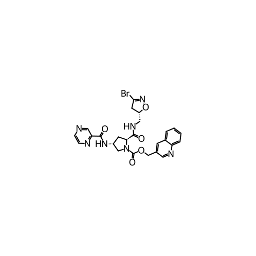 O=C(N[C@@H]1C[C@@H](C(=O)NC[C@@H]2CC(Br)=NO2)N(C(=O)OCc2cnc3ccccc3c2)C1)c1cnccn1